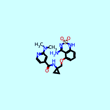 CN(C)c1cc(C(=O)NC2(COc3cccc4c3C(N)=NS(=O)(=O)N4)CC2)ccn1